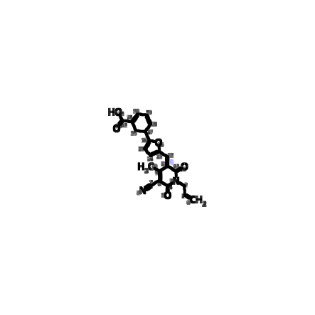 C=CCN1C(=O)C(C#N)=C(C)/C(=C\c2ccc(C3C=CC=C(C(=O)O)C3)o2)C1=O